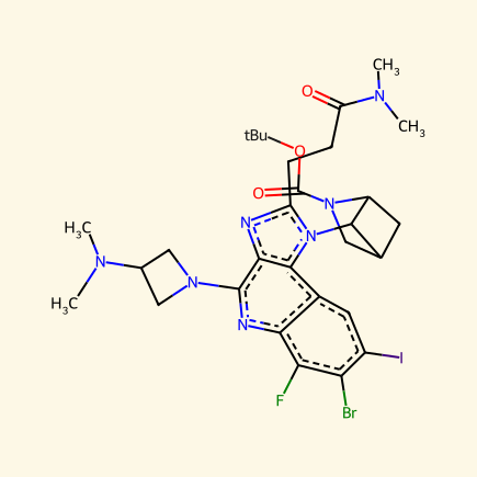 CN(C)C(=O)CCc1nc2c(N3CC(N(C)C)C3)nc3c(F)c(Br)c(I)cc3c2n1C1C2CC1N(C(=O)OC(C)(C)C)C2